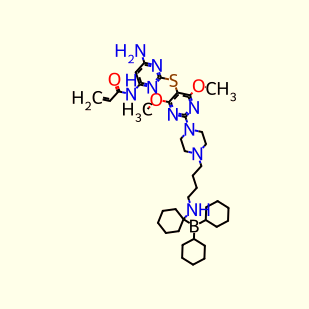 C=CC(=O)Nc1cc(N)nc(Sc2c(OC)nc(N3CCN(CCCCNC4(B(C5CCCCC5)C5CCCCC5)CCCCC4)CC3)nc2OC)n1